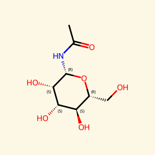 CC(=O)N[C@@H]1O[C@H](CO)[C@@H](O)[C@H](O)[C@@H]1O